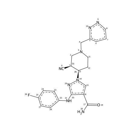 N#C[C@H]1CN(Cc2cccnn2)CC[C@H]1n1cc(C(N)=O)c(Nc2ccc(F)cc2)n1